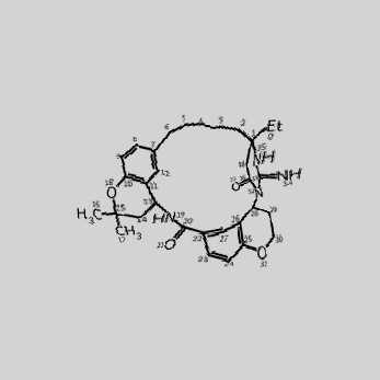 CCC12CCCCCc3ccc4c(c3)C(CC(C)(C)O4)NC(=O)c3ccc4c(c3)C(CCO4)N(C(=N)N1)C(=O)C2